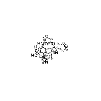 CC(C)(O)c1cc(Nc2cc(Oc3cn(C4CC4)nc3C3CCOCC3)ccn2)ccc1-n1cncn1